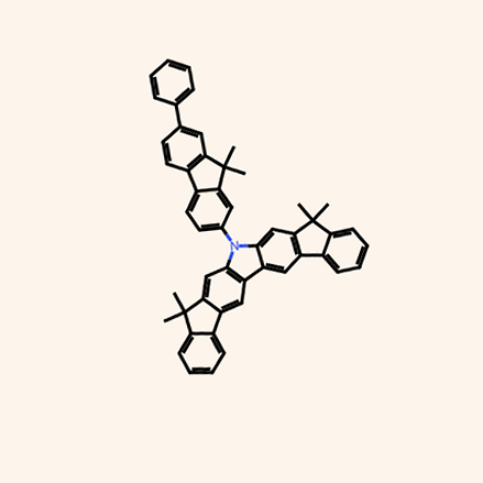 CC1(C)c2cc(-c3ccccc3)ccc2-c2ccc(-n3c4cc5c(cc4c4cc6c(cc43)C(C)(C)c3ccccc3-6)-c3ccccc3C5(C)C)cc21